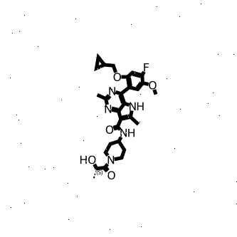 COc1cc(-c2nc(C)nc3c(C(=O)NC4CCN(C(=O)[C@H](C)O)CC4)c(C)[nH]c23)c(OCC2CC2)cc1F